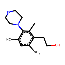 Cc1c(CCO)c([N+](=O)[O-])cc(C#N)c1N1CCNCC1